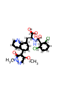 COc1cnn(C)c(=O)c1-c1ccc(C[C@H](NC(=O)c2c(Cl)cccc2Cl)C(=O)O)c2ncccc12